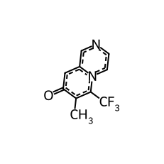 Cc1c(C(F)(F)F)n2ccncc2cc1=O